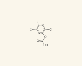 O=C(O)Oc1nc(Cl)c(Cl)cc1Cl